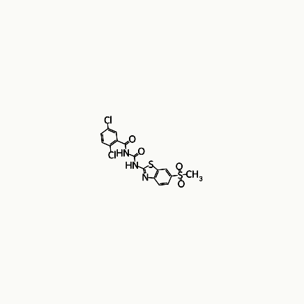 CS(=O)(=O)c1ccc2nc(NC(=O)NC(=O)c3cc(Cl)ccc3Cl)sc2c1